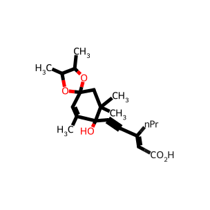 CCC/C(C#CC1(O)C(C)=CC2(CC1(C)C)OC(C)C(C)O2)=C\C(=O)O